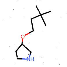 CC(C)(C)CCOC1CCNC1